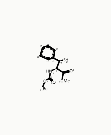 COC(=O)[C@@H](NC(=O)OC(C)(C)C)[C@H](S)c1ccccc1